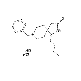 CCCCN1NC(=O)CC12CCN(Cc1ccccc1)CC2.Cl.Cl